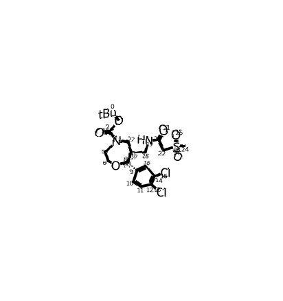 CC(C)(C)OC(=O)N1CCO[C@@H](c2ccc(Cl)c(Cl)c2)[C@H](CNC(=O)CS(C)(=O)=O)C1